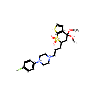 COC1(OC)CC(CCCN2CCN(c3ccc(F)cc3)CC2)S(=O)(=O)c2sccc21